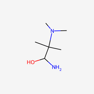 CN(C)C(C)(C)C(N)O